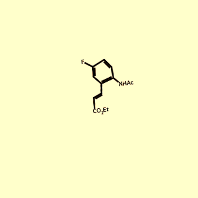 CCOC(=O)/C=C/c1cc(F)ccc1NC(C)=O